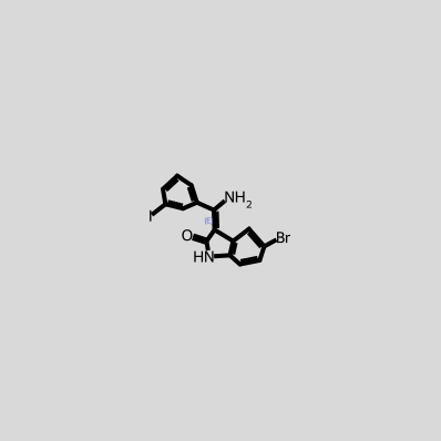 N/C(=C1/C(=O)Nc2ccc(Br)cc21)c1cccc(I)c1